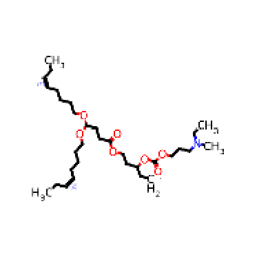 [CH2]CC(CCOC(=O)CCC(OCCCC/C=C\CC)OCCCC/C=C\CC)OC(=O)OCCCN(C)CC